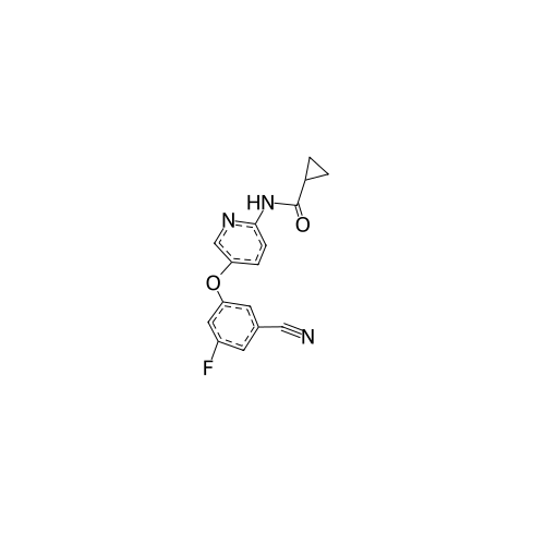 N#Cc1cc(F)cc(Oc2ccc(NC(=O)C3CC3)nc2)c1